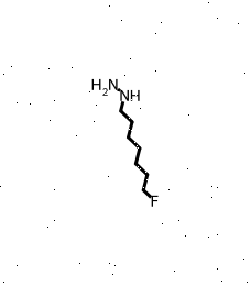 NNCCCCCCCF